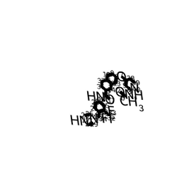 CC(=O)Nc1cc(Oc2ccc3c(c2)CC(C(=O)Nc2ccc(CN4CCNCC4)c(C(F)(F)F)c2)CC3)ccn1